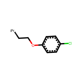 CC(C)CCOc1ccc(Cl)cc1